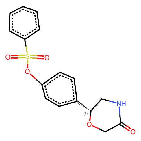 O=C1CO[C@H](c2ccc(OS(=O)(=O)c3ccccc3)cc2)CN1